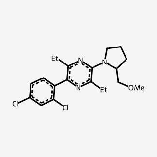 CCc1nc(N2CCCC2COC)c(CC)nc1-c1ccc(Cl)cc1Cl